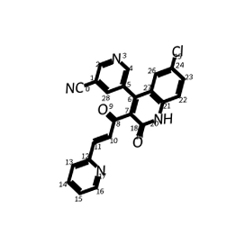 N#Cc1cncc(-c2c(C(=O)/C=C/c3ccccn3)c(=O)[nH]c3ccc(Cl)cc23)c1